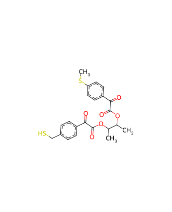 CSc1ccc(C(=O)C(=O)OC(C)C(C)OC(=O)C(=O)c2ccc(CS)cc2)cc1